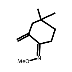 C=C1CC(C)(C)CC/C1=N/OC